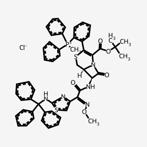 CON=C(C(=O)N[C@@H]1C(=O)N2C(C(=O)OC(C)(C)C)=C(c3ccccc3[P+](C)(c3ccccc3)c3ccccc3)SC[C@H]12)c1csc(NC(c2ccccc2)(c2ccccc2)c2ccccc2)n1.[Cl-]